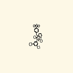 CS(=O)(=O)c1ccc(CC23CCCN2C(=O)N(c2cc(Cl)cc(Cl)c2)C3=O)cc1